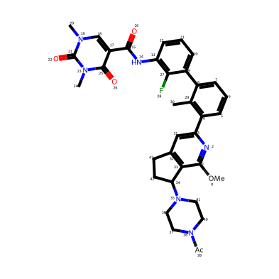 COc1nc(-c2cccc(-c3cccc(NC(=O)c4cn(C)c(=O)n(C)c4=O)c3F)c2C)cc2c1C(N1CCN(C(C)=O)CC1)CC2